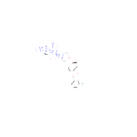 O=C(Nc1cc[nH]n1)N1CCC(Oc2ccc(OCc3cccc(F)c3)cc2)CC1